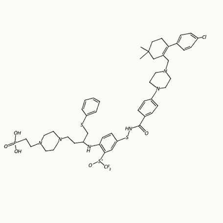 CC1(C)CCC(c2ccc(Cl)cc2)=C(CN2CCN(c3ccc(C(=O)NSc4ccc(NC(CCN5CCN(CCP(=O)(O)O)CC5)CSc5ccccc5)c([S+]([O-])C(F)(F)F)c4)cc3)CC2)C1